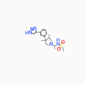 CCS(=O)(=O)NC(C)N1CCC(C)(c2cccc(-c3c[nH]nn3)c2)C(C)C1